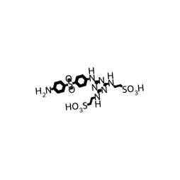 Nc1ccc(S(=O)(=O)c2ccc(Nc3nc(NCCS(=O)(=O)O)nc(NCCS(=O)(=O)O)n3)cc2)cc1